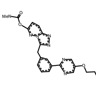 CNC(=O)Oc1ccc2nnc(Cc3cccc(-c4ncc(OCCO)cn4)c3)n2n1